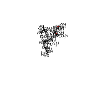 O=CNCc1ccc(CC(=O)N[C@@H](CCC(=O)NC[C@H](O)[C@@H](O)[C@H](O)[C@H](O)CO)C(=O)N[C@H](CCC(=O)O)C(=O)N[C@@H](CCC(=O)NC[C@H](O)[C@@H](O)[C@H](O)[C@H](O)CO)C(=O)N[C@H](CCC(=O)O)CN[C@@H](CCC(=O)NC[C@H](O)[C@@H](O)[C@H](O)[C@H](O)CO)C(=O)N[C@H](CS)C(=O)O)cc1